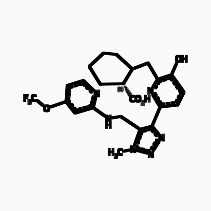 Cn1nnc(-c2ccc(O)c(CC3CCCC[C@H]3C(=O)O)n2)c1CNc1cc(OC(F)(F)F)ccn1